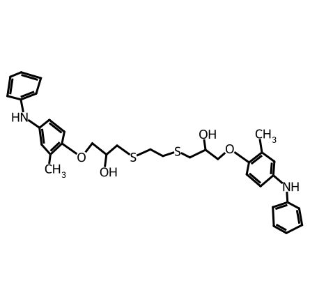 Cc1cc(Nc2ccccc2)ccc1OCC(O)CSCCSCC(O)COc1ccc(Nc2ccccc2)cc1C